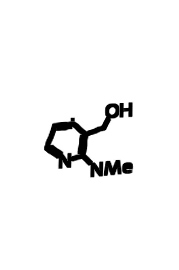 CNc1ncc[c]c1CO